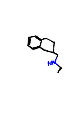 CCNCC1CCc2ccccc2C1